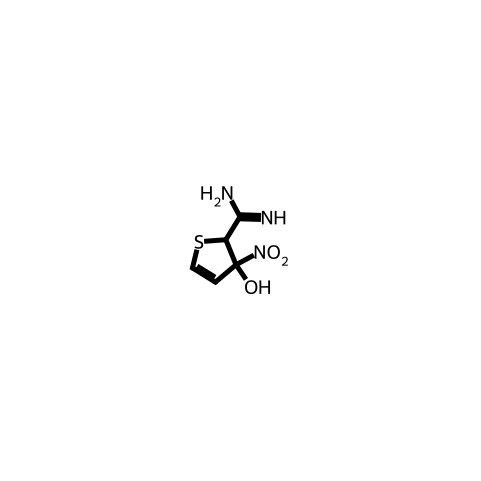 N=C(N)C1SC=CC1(O)[N+](=O)[O-]